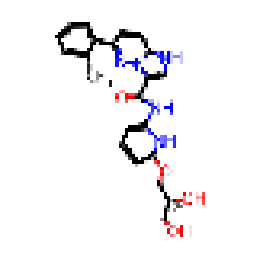 O=C(NC1=CC=CC(OC[C@@H](O)CO)N1)C1=CNC2C=CC(c3ccccc3C(F)(F)F)=NN12